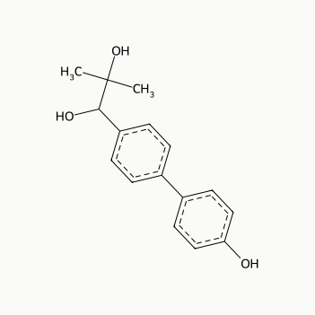 CC(C)(O)C(O)c1ccc(-c2ccc(O)cc2)cc1